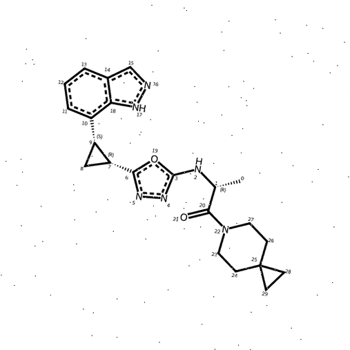 C[C@@H](Nc1nnc([C@@H]2C[C@@H]2c2cccc3cn[nH]c23)o1)C(=O)N1CCC2(CC1)CC2